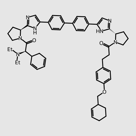 CCN(CC)[C@@H](C(=O)N1CCC[C@H]1c1ncc(-c2ccc(-c3ccc(-c4cnc([C@@H]5CCCN5C(=O)CCc5ccc(OCC6C=CCCC6)cc5)[nH]4)cc3)cc2)[nH]1)C1C=CC=CC1